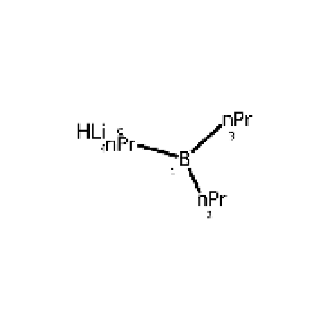 CCCB(CCC)CCC.[LiH]